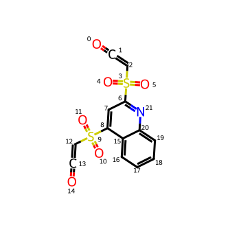 O=C=CS(=O)(=O)c1cc(S(=O)(=O)C=C=O)c2ccccc2n1